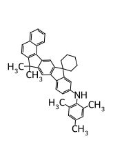 Cc1cc(C)c(Nc2ccc3c(c2)C2(CCCCC2)c2cc4c(cc2-3)C(C)(C)c2ccc3ccccc3c2-4)c(C)c1